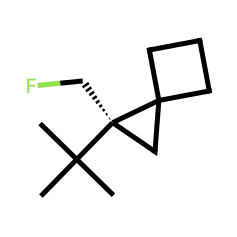 CC(C)(C)[C@]1(CF)CC12CCC2